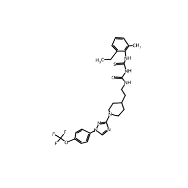 CCc1cccc(C)c1NC(=S)NC(=O)NCCC1CCN(c2ncn(-c3ccc(OC(F)(F)F)cc3)n2)CC1